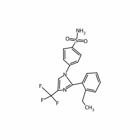 CCc1ccccc1-c1nc(C(F)(F)F)cn1-c1ccc(S(N)(=O)=O)cc1